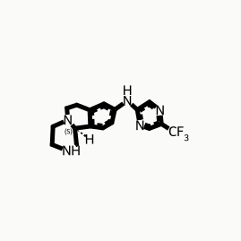 FC(F)(F)c1cnc(Nc2ccc3c(c2)CCN2CCNC[C@H]32)cn1